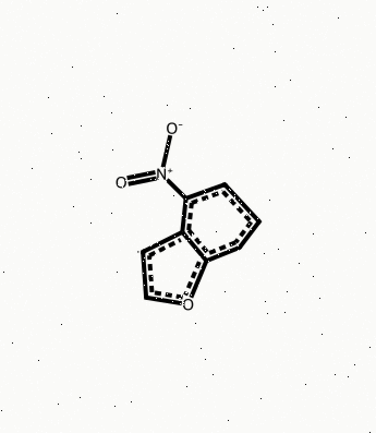 O=[N+]([O-])c1cccc2oc[c]c12